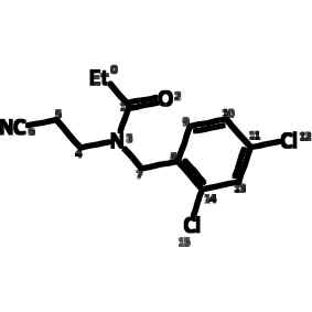 CCC(=O)N(CCC#N)Cc1ccc(Cl)cc1Cl